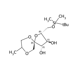 CC1CO[C@]2(CO1)O[C@H](CO[Si](C)(C)C(C)(C)C)[C@@H](O)[C@@H]2O